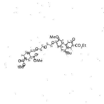 CCOC(=O)c1cn2c(cc1=O)-c1cc(OC)c(OCCOCCOCCN3CCN(C(=O)OC(C)(C)C)CC3C(=O)OC)cc1CC2C(C)(C)C